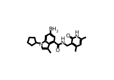 Bc1cc(C(=O)NCc2c(C)cc(C)[nH]c2=O)c2c(C)cn(C3CCCC3)c2c1